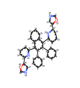 c1ccc(-c2c(-c3ccccc3)c(-c3cccc(-c4cnco4)n3)c3ccccc3c2-c2cccc(-c3cnco3)n2)cc1